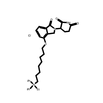 CC[N+](CCCCCCCCSc1cccc2c1CN(C1CCC(=O)NC1=O)C2=O)(C(C)C)C(C)C.[Cl-]